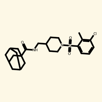 Cc1c(Cl)cccc1S(=O)(=O)N1CCC(CNC(=O)C23CC4CC(CC(C4)C2)C3)CC1